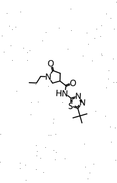 CCCN1CC(C(=O)Nc2nnc(C(C)(C)C)s2)CC1=O